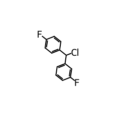 Fc1ccc(C(Cl)c2cccc(F)c2)cc1